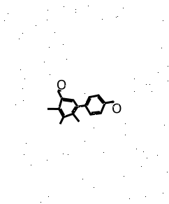 Cc1c(C=O)cc(-c2ccc(C=O)cc2)c(C)c1C